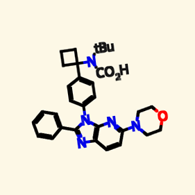 CC(C)(C)N(C(=O)O)C1(c2ccc(-n3c(-c4ccccc4)nc4ccc(N5CCOCC5)nc43)cc2)CCC1